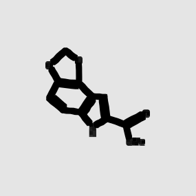 COC(=O)c1cc2c3c(ccc2[nH]1)OCO3